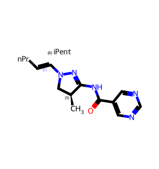 CCC/C=C(\[C@H](C)CCC)N1C[C@H](C)C(NC(=O)c2cncnc2)=N1